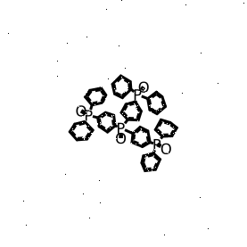 O=P(c1ccccc1)(c1ccccc1)c1ccc(P(=O)(c2ccc(P(=O)(c3ccccc3)c3ccccc3)cc2)c2ccc(P(=O)(c3ccccc3)c3ccccc3)cc2)cc1